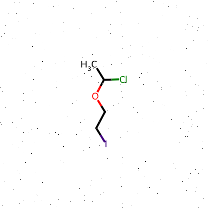 CC(Cl)OCCI